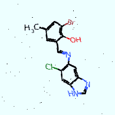 Cc1cc(Br)c(O)c(/C=N/c2cc3nc[nH]c3cc2Cl)c1